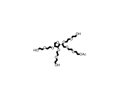 CC(=O)OCCOCCOCC(OCCOCCO)[C@H]1OC[C@@H](OCCOCCO)[C@@H]1OCCOCCO